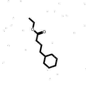 CCOC(=O)[CH]CCC1CCCCC1